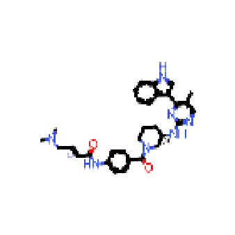 Cc1cnc(N[C@@H]2CCCN(C(=O)c3ccc(NC(=O)/C=C/CN(C)C)cc3)C2)nc1-c1c[nH]c2ccccc12